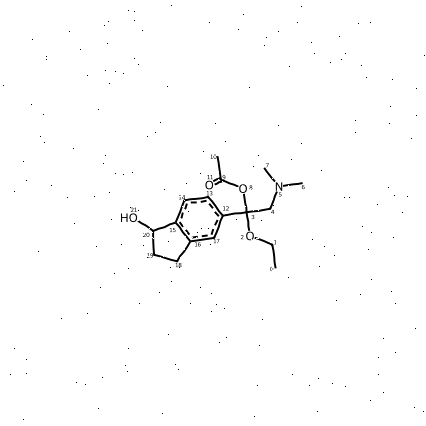 CCOC(CN(C)C)(OC(C)=O)c1ccc2c(c1)CCC2O